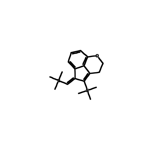 C[Si](C)(C)C=C1C([Si](C)(C)C)=C2CCOc3cccc1c32